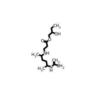 BC(=C)NC(C)CCC(C)NCCC(=O)OCC(O)CC